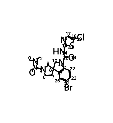 CN(C)C(=O)N1CCC2(C1)CN(C(=O)Nc1ncc(Cl)s1)c1ccc(Br)cc12